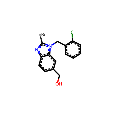 CCCCc1nc2ccc(CO)cc2n1Cc1ccccc1Cl